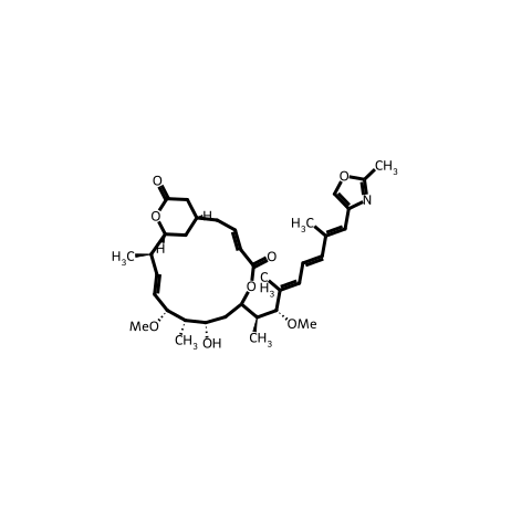 CO[C@@H]1/C=C/[C@@H](C)[C@H]2C[C@@H](C/C=C/C(=O)OC([C@H](C)[C@@H](OC)/C(C)=C/C=C/C(C)=C/c3coc(C)n3)C[C@H](O)[C@@H]1C)CC(=O)O2